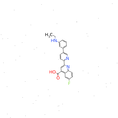 CCNc1cccc(-c2ccc(-c3cc(C(=O)O)c4cc(F)ccc4n3)nc2)c1